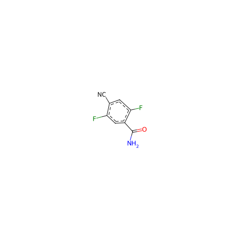 N#Cc1cc(F)c(C(N)=O)cc1F